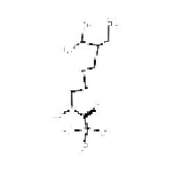 CCC(CCCCN(C)C(=O)C(C)(C)C)C(C)C